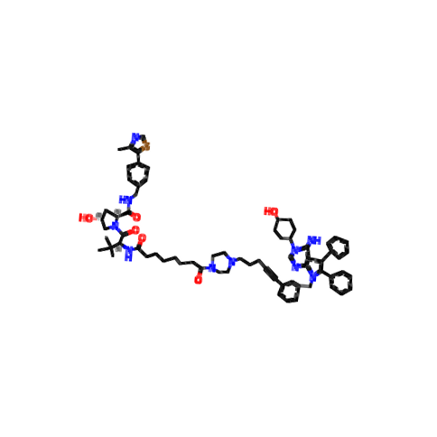 Cc1ncsc1-c1ccc(CNC(=O)[C@@H]2C[C@@H](O)CN2C(=O)[C@@H](NC(=O)CCCCCCC(=O)N2CCN(CCCC#Cc3cccc(Cn4c(-c5ccccc5)c(-c5ccccc5)c5c(=N)n(C6CCC(O)CC6)cnc54)c3)CC2)C(C)(C)C)cc1